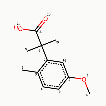 COc1ccc(C)c(C(C)(C)C(=O)O)c1